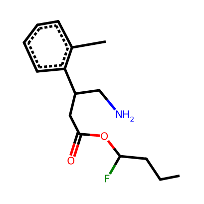 CCCC(F)OC(=O)CC(CN)c1ccccc1C